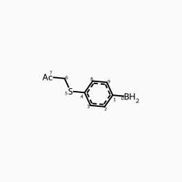 Bc1ccc(SCC(C)=O)cc1